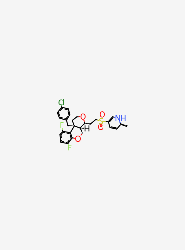 C=C1C=CC(S(=O)(=O)CC[C@@H]2OCC[C@@]3(Cc4ccc(Cl)cc4)c4c(F)ccc(F)c4OC[C@@H]23)=CN1